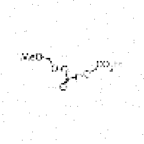 CCOC(=O)CCCC(=O)OOCOC